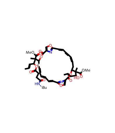 C/C=C/C(O)C(C)(C(=O)OC)C1C\C=C/C=C/C=C/c2nc(co2)C(=O)OC(C(C)(C(=O)OC)C(/C=C/C)OC(=O)CCC(=O)N[C@@H](C)CC)C\C=C/C=C/C=C/c2nc(co2)C(=O)O1